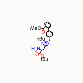 CCCCc1nc(CC(N)C(=O)OC(C)(C)C)cn1Cc1ccc(-c2ccccc2C(=O)OC)cc1